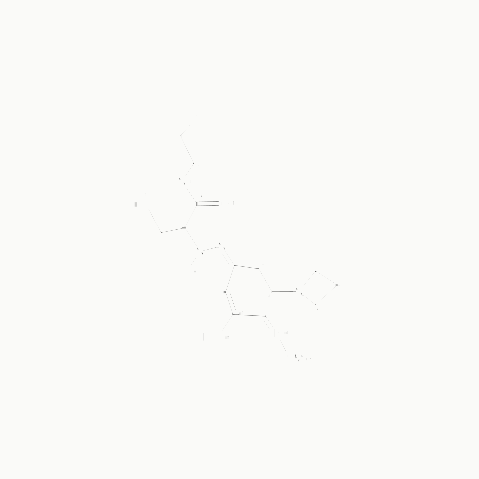 CCOC(=O)CCNC(=O)C(CC(C)C)N(C)/N=C(\C=C(/C=BSC)C(F)(F)F)CCN1CCC1